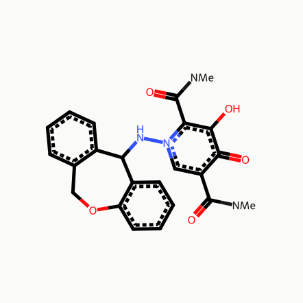 CNC(=O)c1cn(NC2c3ccccc3COc3ccccc32)c(C(=O)NC)c(O)c1=O